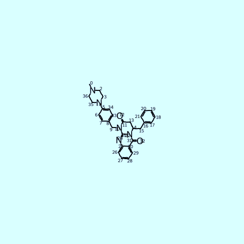 CN1CCN(c2ccc(CN3C(=O)CC(Cc4ccccc4)n4c3nc3ccccc3c4=O)cc2)CC1